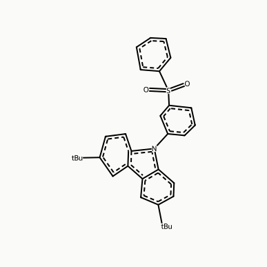 CC(C)(C)c1ccc2c(c1)c1cc(C(C)(C)C)ccc1n2-c1cccc(S(=O)(=O)c2ccccc2)c1